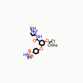 CCC(OC)Oc1cc(Oc2ccc(S(=O)(=O)NC(C)C)cc2)cc(C(=O)Nc2ccn(C)n2)c1